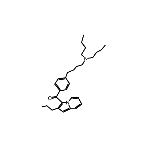 CCCCN(CCCC)CCCCc1ccc(C(=O)c2c(CCC)cc3ccccn23)cc1